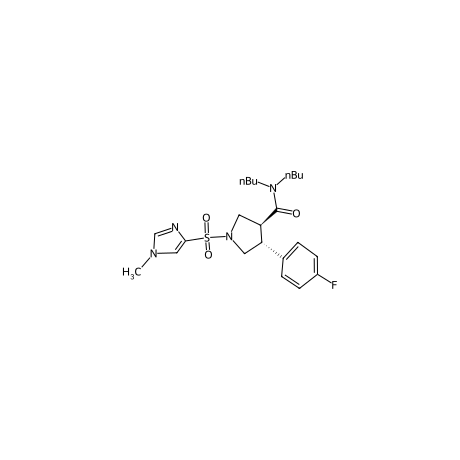 CCCCN(CCCC)C(=O)[C@@H]1CN(S(=O)(=O)c2cn(C)cn2)C[C@H]1c1ccc(F)cc1